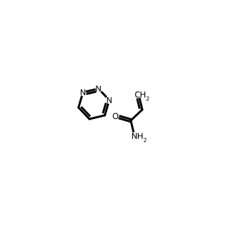 C=CC(N)=O.c1cnnnc1